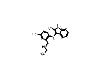 CCNCc1cc(C)ccc1Sc1c(C)[nH]c2ccccc12